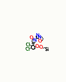 C[Si](C)(C)CCOCOc1ccc(Cl)c(Cl)c1[C@H]1CC(=O)N(c2cnn3c2OCCC3)C1